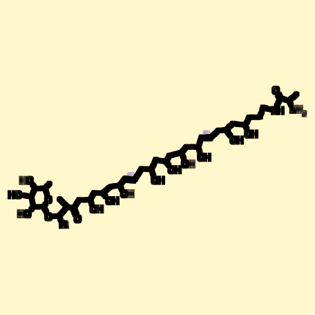 CCC(OC1OC(C)C(O)C(O)C1O)C(C)C(=O)CC(O)CC(O)CC(O)/C=C/CC(O)CC(O)CC(O)CC(O)/C=C/CC(O)CC(O)CCCNC(=O)C(C)N